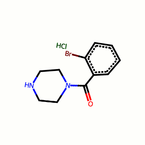 Cl.O=C(c1ccccc1Br)N1CCNCC1